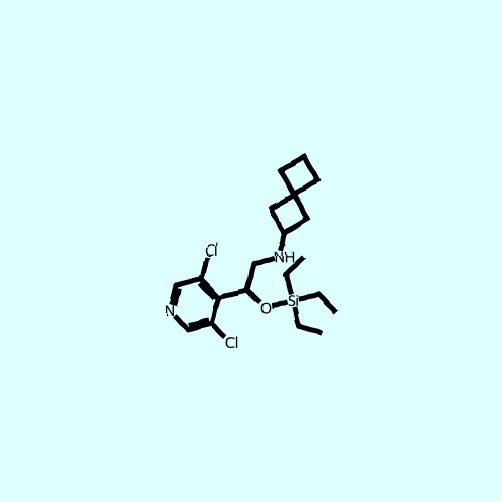 CC[Si](CC)(CC)OC(CNC1CC2(CCC2)C1)c1c(Cl)cncc1Cl